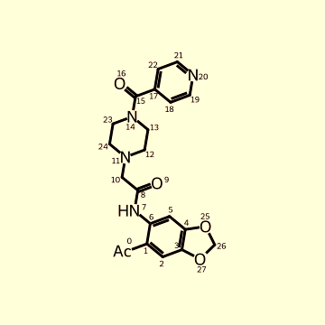 CC(=O)c1cc2c(cc1NC(=O)CN1CCN(C(=O)c3ccncc3)CC1)OCO2